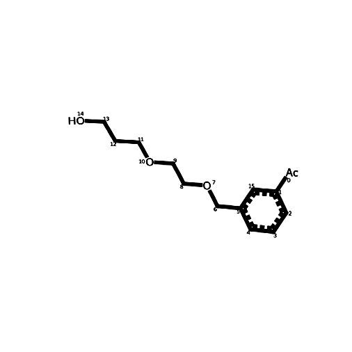 CC(=O)c1cccc(COCCOCCCO)c1